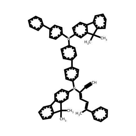 C#C/C(=C\C=C(/C)c1ccccc1)N(c1ccc(-c2ccc(N(c3ccc(-c4ccccc4)cc3)c3ccc4c(c3)C(C)(C)c3ccccc3-4)cc2)cc1)c1ccc2c(c1)C(C)(C)c1ccccc1-2